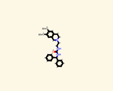 COc1cc2c(cc1OC)CN(CCNC(=O)NC(c1ccccc1)c1ccccc1)CC2